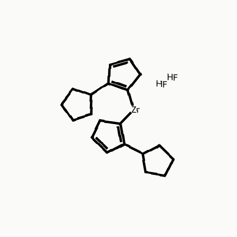 C1=CC(C2CCCC2)=[C]([Zr][C]2=C(C3CCCC3)C=CC2)C1.F.F